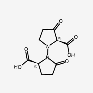 O=C(O)[C@@H]1C(=O)CCN1N1C(=O)CC[C@H]1C(=O)O